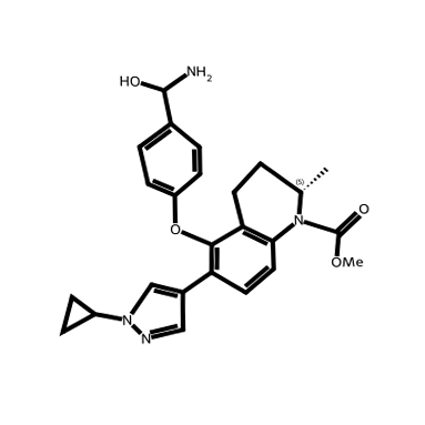 COC(=O)N1c2ccc(-c3cnn(C4CC4)c3)c(Oc3ccc(C(N)O)cc3)c2CC[C@@H]1C